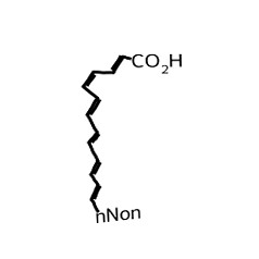 CCCCCCCCCC=CC=CC=CC=C/C=C\C=CC(=O)O